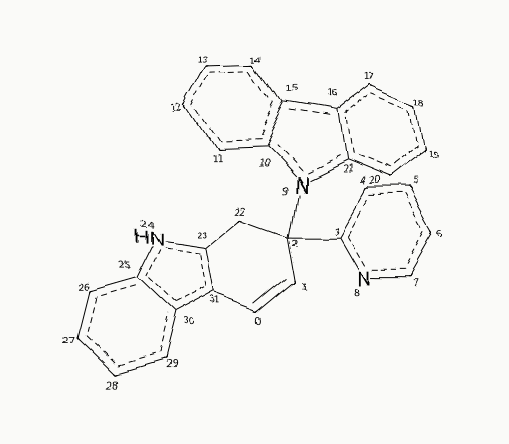 C1=CC(c2ccccn2)(n2c3ccccc3c3ccccc32)Cc2[nH]c3ccccc3c21